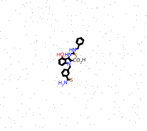 NC(=S)c1cccc(Cn2c(C(=O)O)c(NC(=S)NCc3ccccc3)c3c(O)cccc32)c1